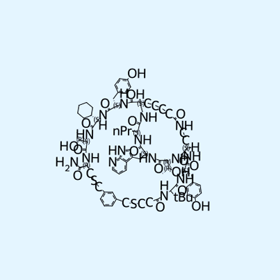 CCC[C@@H]1NC(=O)[C@H](Cc2c[nH]c3ncccc23)NC(=O)[C@@H]([C@@H](C)O)NC(=O)[C@@H]2CCNC(=O)CCCC[C@H](NC1=O)C(=O)N[C@@H](Cc1ccc(O)cc1)C(=O)N[C@@H](C1CCCCC1)C(=O)N[C@@H]([C@@H](C)O)C(=O)N[C@H](C(N)=O)CSCc1cccc(c1)CSCCC(=O)NC(C(C)(C)C)C(=O)N[C@@H](Cc1ccc(O)cc1)C(=O)N2